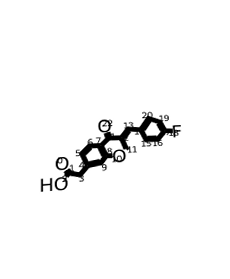 O=C(O)Cc1ccc2c(c1)OCC(=Cc1ccc(F)cc1)C2=O